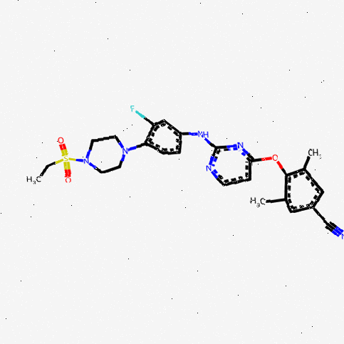 CCS(=O)(=O)N1CCN(c2ccc(Nc3nccc(Oc4c(C)cc(C#N)cc4C)n3)cc2F)CC1